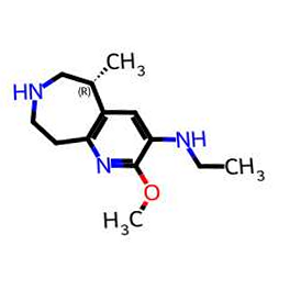 CCNc1cc2c(nc1OC)CCNC[C@@H]2C